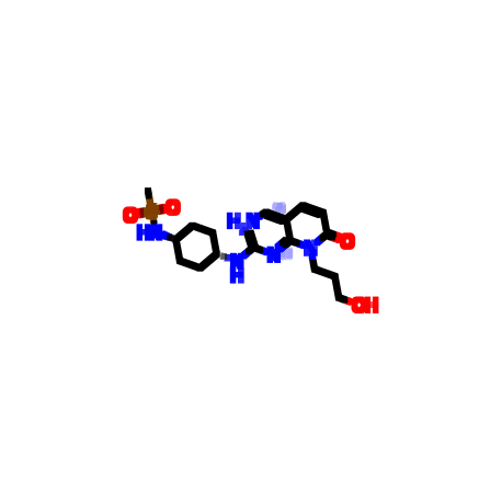 C=C(/N=C1\C(=C/N)C=CC(=O)N1CCCO)N[C@H]1CC[C@H](NS(C)(=O)=O)CC1